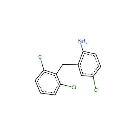 Nc1ccc(Cl)cc1Cc1c(Cl)cccc1Cl